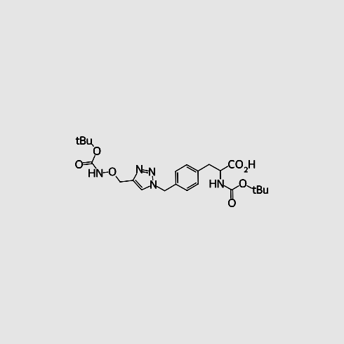 CC(C)(C)OC(=O)NOCc1cn(Cc2ccc(CC(NC(=O)OC(C)(C)C)C(=O)O)cc2)nn1